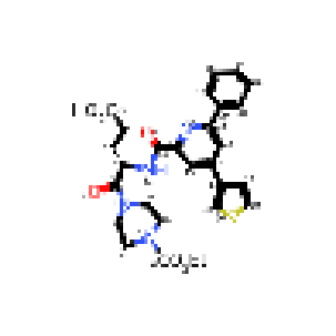 CCOC(=O)N1CCN(C(=O)[C@H](CCC(=O)O)NC(=O)c2cc(-c3ccsc3)cc(-c3ccccc3)n2)CC1